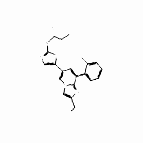 CC[C@@H](C)Nc1ncc(-c2cc(-c3ccccc3C)c3nc(CO)cn3c2)s1